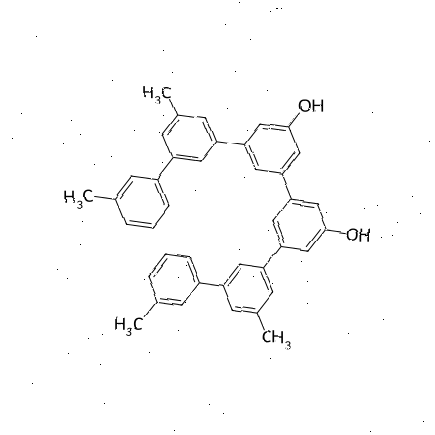 Cc1cccc(-c2cc(C)cc(-c3cc(O)cc(-c4cc(O)cc(-c5cc(C)cc(-c6cccc(C)c6)c5)c4)c3)c2)c1